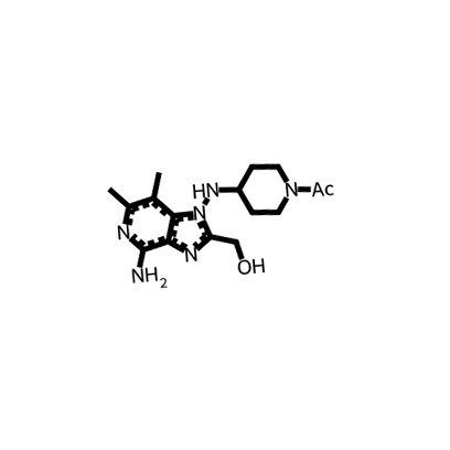 CC(=O)N1CCC(Nn2c(CO)nc3c(N)nc(C)c(C)c32)CC1